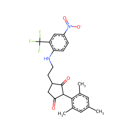 Cc1cc(C)c(C2C(=O)CC(CCNc3ccc([N+](=O)[O-])cc3C(F)(F)F)C2=O)c(C)c1